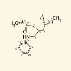 COC(=O)CC(CNc1ccccc1)CC(=O)OC